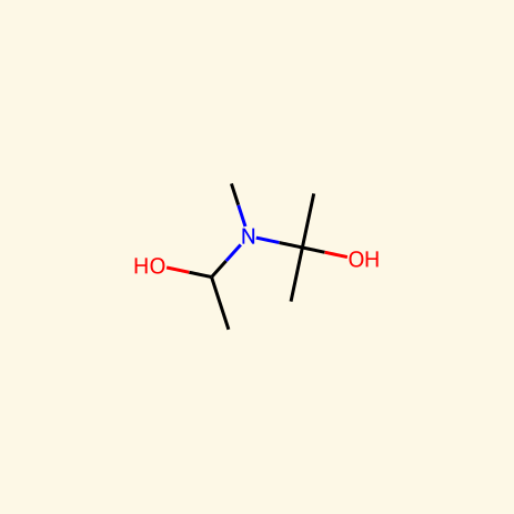 CC(O)N(C)C(C)(C)O